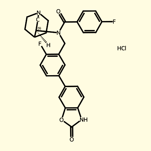 Cl.O=C(c1ccc(F)cc1)N(Cc1cc(-c2ccc3[nH]c(=O)oc3c2)ccc1F)[C@@H]1CN2CCC1CC2